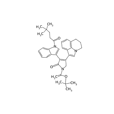 C=C(OC(C)(C)C)N1CC(c2cn3c4c(cccc24)CCC3)=C(c2cn(C(=O)CCC(C)(C)C)c3ccccc23)C1=O